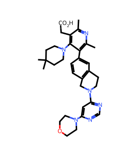 Cc1nc(C)c(-c2ccc3c(c2)CCN(c2cc(N4CCOCC4)ncn2)C3)c(N2CCC(C)(C)CC2)c1CC(=O)O